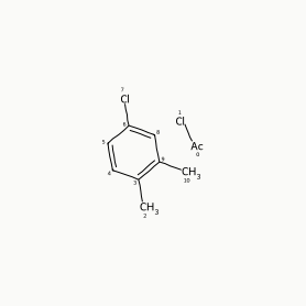 CC(=O)Cl.Cc1ccc(Cl)cc1C